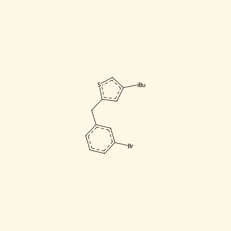 CCC(C)c1csc(Cc2cccc(Br)c2)c1